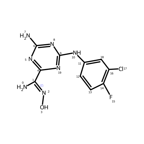 N/C(=N\O)c1nc(N)nc(Nc2ccc(F)c(Cl)c2)n1